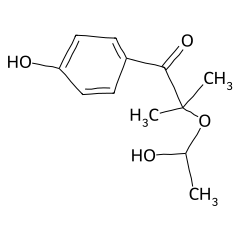 CC(O)OC(C)(C)C(=O)c1ccc(O)cc1